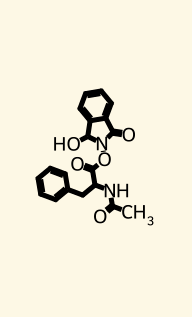 CC(=O)NC(Cc1ccccc1)C(=O)ON1C(=O)c2ccccc2C1O